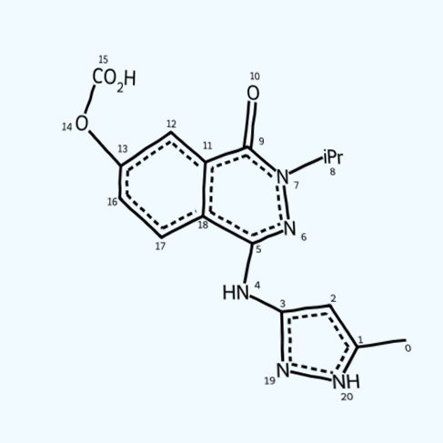 Cc1cc(Nc2nn(C(C)C)c(=O)c3cc(OC(=O)O)ccc23)n[nH]1